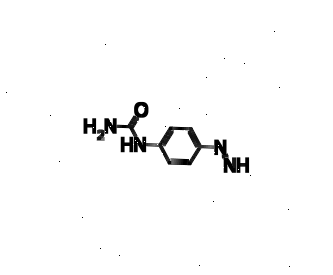 N=Nc1ccc(NC(N)=O)cc1